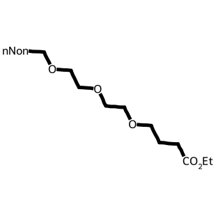 CCCCCCCCCCOCCOCCOCCCC(=O)OCC